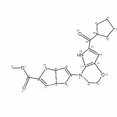 COC(=O)C1=CC2SC(N3CCOc4cc(C(=O)N5CCCC5)[nH]c43)=CC2S1